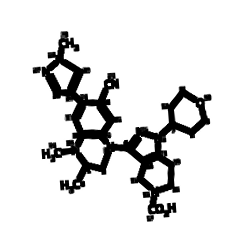 CC1CN(c2nn(C3CCOCC3)c3c2CN(C(=O)O)CC3)c2cc(C#N)c(-c3cnn(C)c3)cc2N1C